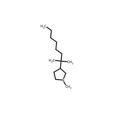 CCCCCCC(C)(C)C1CCN(C)C1